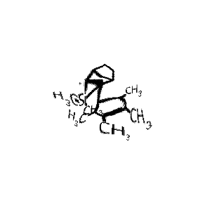 CC1=C(C)C(C)C(C23[C](C4CCC2C4)[Si]3(C)C)=C1C